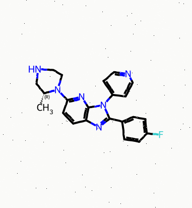 C[C@@H]1CNCCN1c1ccc2nc(-c3ccc(F)cc3)n(-c3ccncc3)c2n1